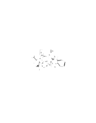 CC(C)=C(Cl)C(C1CN(c2nc3ccccc3nc2NC2CC2)CCN1C=O)C(F)(F)F